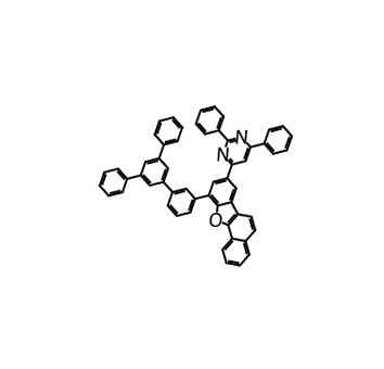 c1ccc(-c2cc(-c3ccccc3)cc(-c3cccc(-c4cc(-c5cc(-c6ccccc6)nc(-c6ccccc6)n5)cc5c4oc4c6ccccc6ccc54)c3)c2)cc1